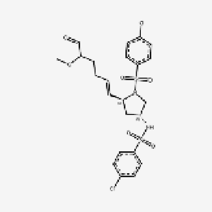 COC(C=O)CCC=C[C@@H]1C[C@@H](NS(=O)(=O)c2ccc(Cl)cc2)CN1S(=O)(=O)c1ccc(Cl)cc1